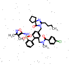 CCCCC1=NC2(CCCC2)C(=O)N1Cc1ccc(-c2ccccc2S(=O)(=O)Nc2onc(C)c2C)c(CN(C)C(=O)c2ccc(Cl)cc2)c1